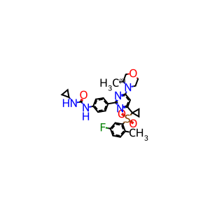 Cc1ccc(F)cc1S(=O)(=O)C1(c2cc(N3CCOC[C@@H]3C)nc(-c3ccc(NC(=O)NC4CC4)cc3)n2)CC1